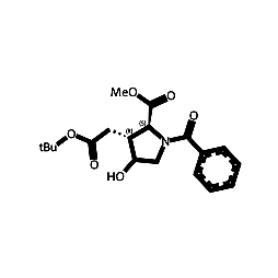 COC(=O)[C@@H]1[C@@H](CC(=O)OC(C)(C)C)C(O)CN1C(=O)c1ccccc1